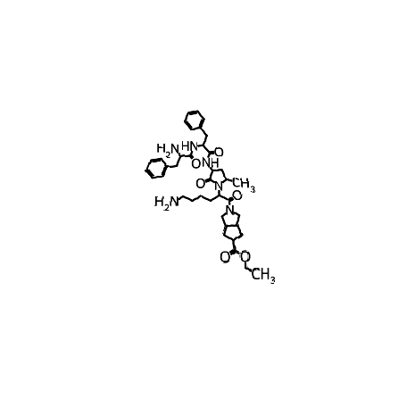 CCOC(=O)C1CC2CN(C(=O)C(CCCCN)N3C(=O)C(NC(=O)C(Cc4ccccc4)NC(=O)C(N)Cc4ccccc4)CC3C)CC2C1